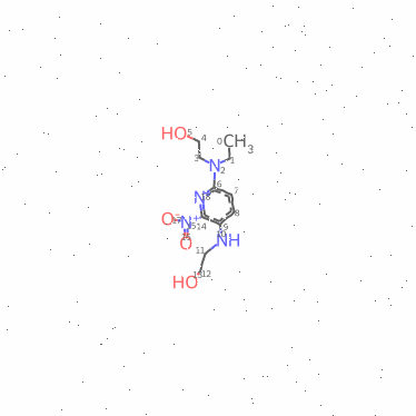 CCN(CCO)c1ccc(NCCO)c([N+](=O)[O-])n1